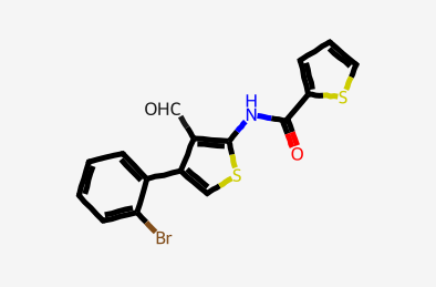 O=Cc1c(-c2ccccc2Br)csc1NC(=O)c1cccs1